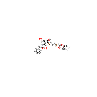 CC(C)OC(=O)CSCCCS[C@H]1C(=O)C[C@@H](CO)[C@@H]1/C=C/C(O)Cc1ccccc1